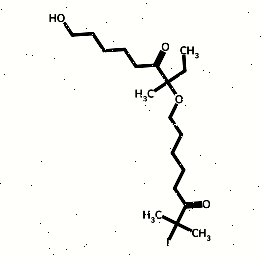 CCC(C)(OCCCCCC(=O)C(C)(C)I)C(=O)CCCCCO